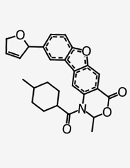 CC1CCC(C(=O)N2c3cc4c(cc3C(=O)OC2C)oc2ccc(C3C=CCO3)cc24)CC1